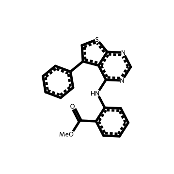 COC(=O)c1ccccc1Nc1ncnc2scc(-c3ccccc3)c12